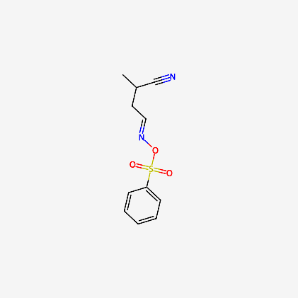 CC(C#N)C/C=N/OS(=O)(=O)c1ccccc1